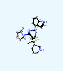 Cc1c(C2CCCNC2)sc2nc(-c3cccc4[nH]ccc34)nc(N3CCOC[C@H]3C)c12